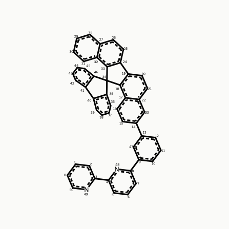 c1ccc(-c2cccc(-c3cccc(-c4ccc5c6c(ccc5c4)-c4ccc5ccccc5c4C64c5ccccc5-c5ccccc54)c3)n2)nc1